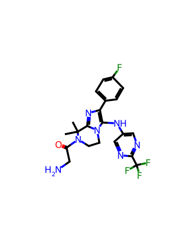 CC1(C)c2nc(-c3ccc(F)cc3)c(Nc3cnc(C(F)(F)F)nc3)n2CCN1C(=O)CN